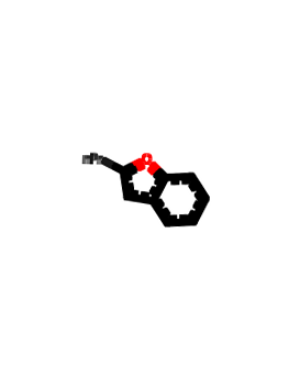 [CH2]CCc1cc2ccccc2o1